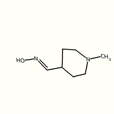 CN1CCC(C=NO)CC1